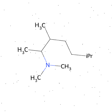 CC(C)CCC(C)C(C)N(C)C